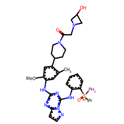 COc1cc(C2CCN(C(=O)CN3CC(O)C3)CC2)c(C)cc1Nc1nc(Nc2ccccc2[SH](=O)(P)C(C)C)n2nccc2n1